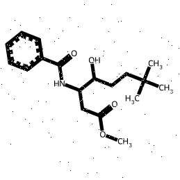 COC(=O)CC(NC(=O)c1ccccc1)C(O)CCC(C)(C)C